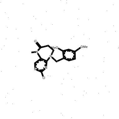 COc1ccc(CN2CCC(=O)N(C)c3cnc(Cl)nc32)c(OC)c1